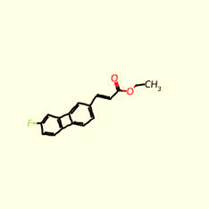 CCOC(=O)/C=C/c1ccc2c(c1)-c1cc(F)ccc1-2